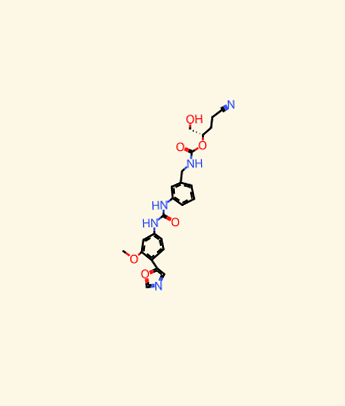 COc1cc(NC(=O)Nc2cccc(CNC(=O)O[C@H](CO)CCC#N)c2)ccc1-c1cnco1